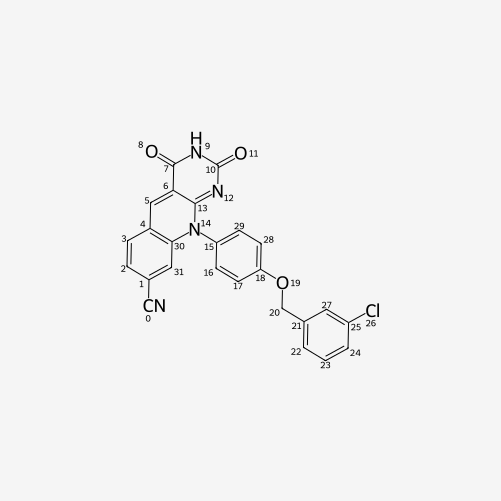 N#Cc1ccc2cc3c(=O)[nH]c(=O)nc-3n(-c3ccc(OCc4cccc(Cl)c4)cc3)c2c1